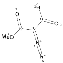 [2H]C(=O)C(=[N+]=[N-])C(=O)OC